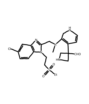 CCS(=O)(=O)CCn1c(CN(C)C2=C(C3(C=O)CNC3)C=CNC2)nc2cc(Cl)ccc21